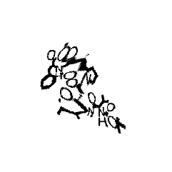 CC[C@H](C)[C@@H]([C@@H](CC(=O)N1CCCC1[C@H](OC)[C@@H](C)C(=O)NC(Cc1ccccc1)C(=O)OC)OC)N(C)C(=O)C(NC(=O)OC(C)(C)C)C(C)C